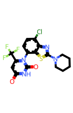 O=c1cc(C(F)(F)F)n(-c2ccc(Cl)c3nc(N4CCCCC4)sc23)c(=O)[nH]1